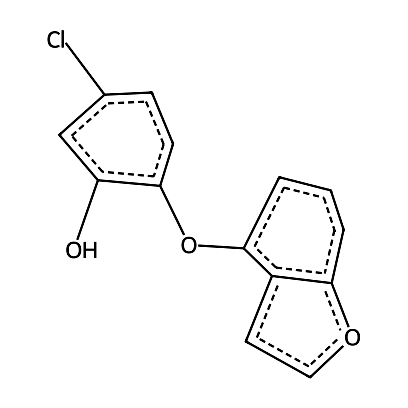 Oc1cc(Cl)ccc1Oc1cccc2occc12